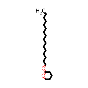 C=CCCCCCCCCCCCCCCOC1CCCCO1